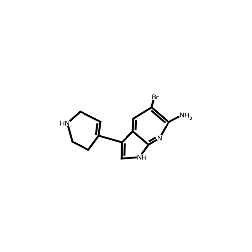 Nc1nc2[nH]cc(C3=CCNCC3)c2cc1Br